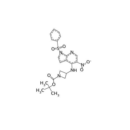 CC(C)(C)OC(=O)N1CC(Nc2c([N+](=O)[O-])cnc3c2ccn3S(=O)(=O)c2ccccc2)C1